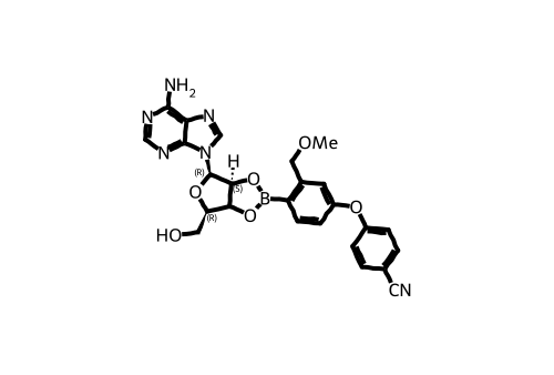 COCc1cc(Oc2ccc(C#N)cc2)ccc1B1OC2[C@@H](CO)O[C@@H](n3cnc4c(N)ncnc43)[C@H]2O1